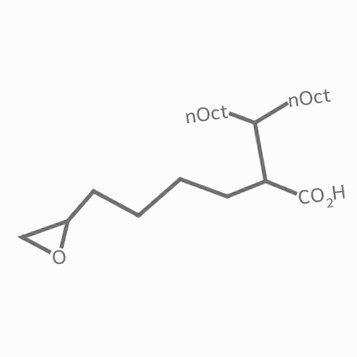 CCCCCCCCC(CCCCCCCC)C(CCCCC1CO1)C(=O)O